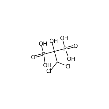 O=P(O)(O)C(O)(C(Cl)Cl)P(=O)(O)O